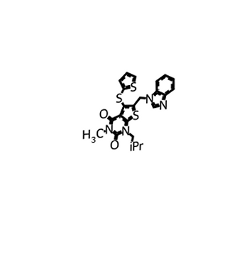 CC(C)Cn1c(=O)n(C)c(=O)c2c(Sc3cccs3)c(Cn3cnc4ccccc43)sc21